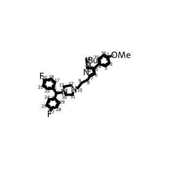 COc1ccc(-c2cc(CCCN3CCN(C(c4ccc(F)cc4)c4ccc(F)cc4)CC3)nn2C(C)(C)C)cc1